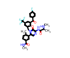 CNC(=O)c1ccc(C)c(-c2cnc(NC(=O)[C@H](C)NC)c(=O)n2Cc2cc(C(=O)c3ccc(F)cc3)cc(C(F)(F)F)c2)c1